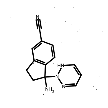 N#Cc1ccc2c(c1)CCC2(N)N1N=CC=CN1